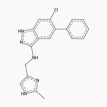 Cc1nc(CNc2n[nH]c3cc(Cl)c(-c4ccccc4)cc23)c[nH]1